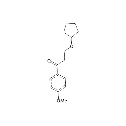 COc1ccc(C(=O)CCOC2CCCC2)cc1